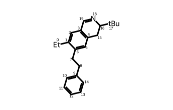 CCc1cc2c(cc1CCc1ccccc1)CC(C(C)(C)C)N=C2